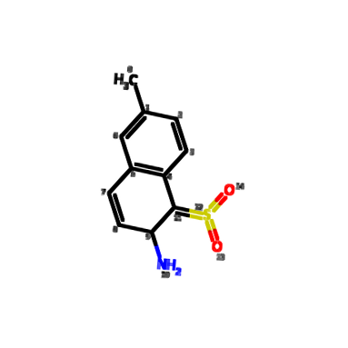 Cc1ccc2c(c1)C=CC(N)C2=S(=O)=O